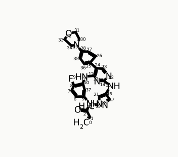 C=CC(=O)Nc1ccc(F)c(Nc2nc(Nc3cnn(C)c3)ncc2-c2ccc(N3CCOCC3)cc2)c1